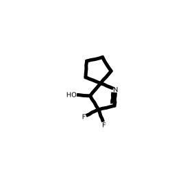 OC1C(F)(F)C=NC12CCCC2